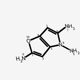 Nc1cc2c(cc(N)n2N)o1